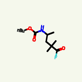 CCCCOC(=O)NC(C)CC(C)(C)C(=O)F